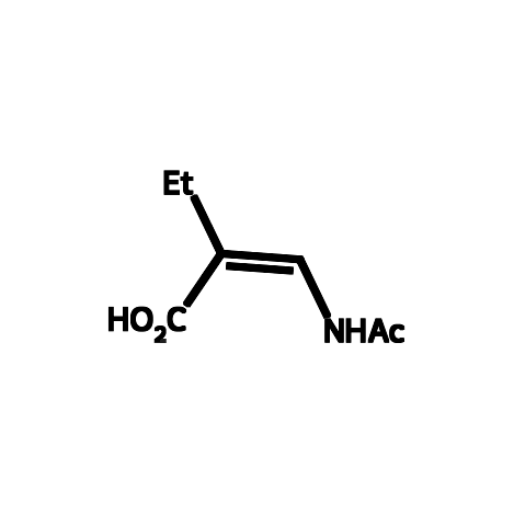 CCC(=CNC(C)=O)C(=O)O